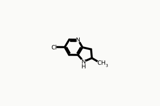 CC1Cc2ncc(Cl)cc2N1